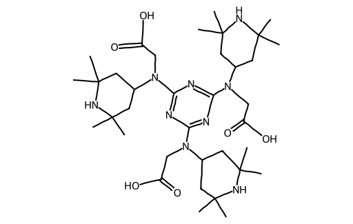 CC1(C)CC(N(CC(=O)O)c2nc(N(CC(=O)O)C3CC(C)(C)NC(C)(C)C3)nc(N(CC(=O)O)C3CC(C)(C)NC(C)(C)C3)n2)CC(C)(C)N1